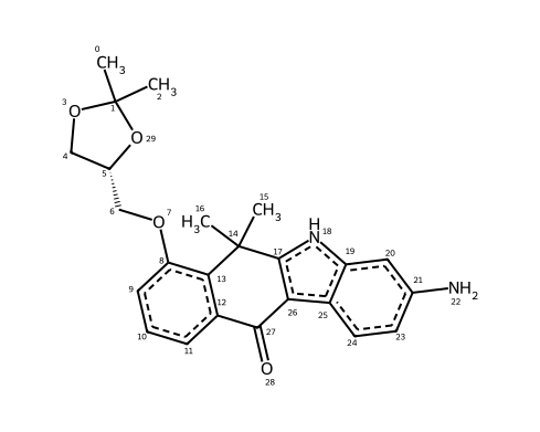 CC1(C)OC[C@@H](COc2cccc3c2C(C)(C)c2[nH]c4cc(N)ccc4c2C3=O)O1